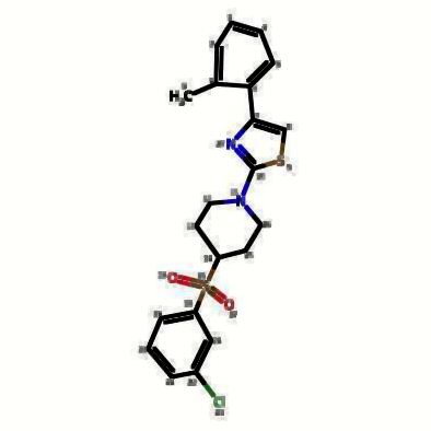 Cc1ccccc1-c1csc(N2CCC(S(=O)(=O)c3cccc(Cl)c3)CC2)n1